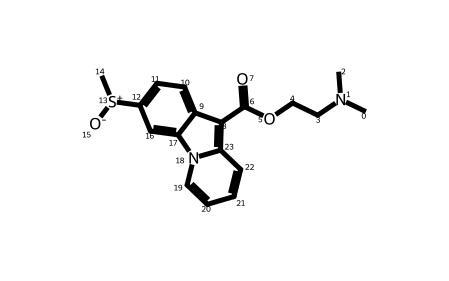 CN(C)CCOC(=O)c1c2ccc([S+](C)[O-])cc2n2ccccc12